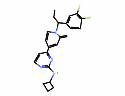 C=C1C=C(c2ccnc(NC3CCC3)n2)C=CN1C(CC)c1ccc(F)c(F)c1